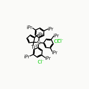 CCC(C)C1=CC=C[C]1([Ti+3])[Si](c1cc(C(C)C)cc(C(C)C)c1)(c1cc(C(C)C)cc(C(C)C)c1)c1cc(C(C)C)cc(C(C)C)c1.[Cl-].[Cl-].[Cl-]